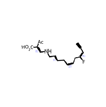 C#C/C=C(/F)C/C=C\C/C=C/CN/C=C(\C(C)=O)C(=O)O